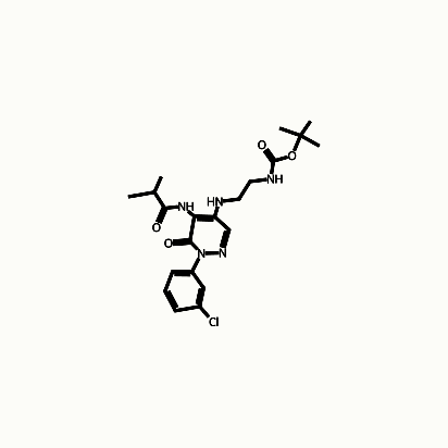 CC(C)C(=O)Nc1c(NCCNC(=O)OC(C)(C)C)cnn(-c2cccc(Cl)c2)c1=O